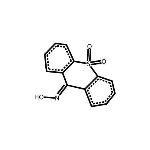 O=S1(=O)c2ccccc2C(=NO)c2ccccc21